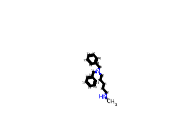 CNCCCCCN(Cc1ccccc1)Cc1ccccc1